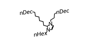 CCCCCCCCCCCCCCCCC1N(CCCCCC)C=CN1CCCCCCCCCCCCC